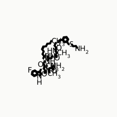 CCCCC/C=C\CCCC[C@H](NC(=O)CNC(=O)[C@H](C)NC(=O)CCSCc1cccc(CSCCN)c1)C(=O)N(C)[C@@H](Cc1c[nH]c2ccc(F)cc12)C(=O)N(C)CC(N)=O